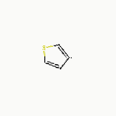 [c]1[c]scc1